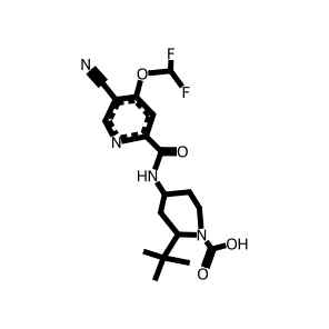 CC(C)(C)C1CC(NC(=O)c2cc(OC(F)F)c(C#N)cn2)CCN1C(=O)O